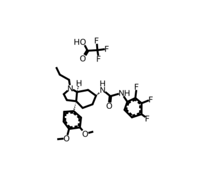 CCCN1CC[C@]2(c3ccc(OC)c(OC)c3)CC[C@@H](NC(=O)Nc3ccc(F)c(F)c3F)C[C@H]12.O=C(O)C(F)(F)F